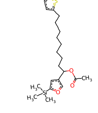 CC(=O)OC(CCCCCCCCc1cccs1)c1coc([Si](C)(C)C)c1